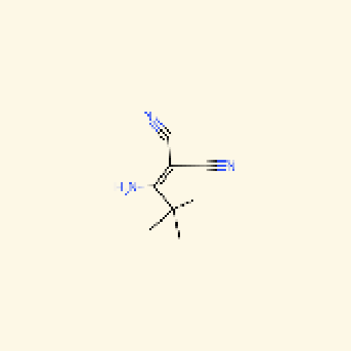 CC(C)(C)C(N)=C(C#N)C#N